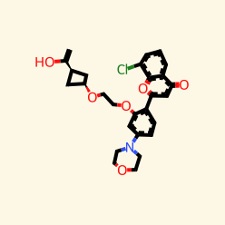 C=C(O)[C@H]1C[C@@H](OCCOc2cc(N3CCOCC3)ccc2-c2cc(=O)c3cccc(Cl)c3o2)C1